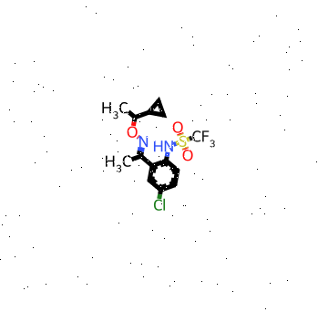 C/C(=N\OC(C)C1CC1)c1cc(Cl)ccc1NS(=O)(=O)C(F)(F)F